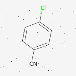 N#Cc1[c]cc(Cl)cc1